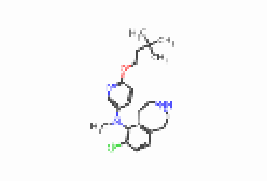 CN(c1ccc(OCCC(C)(C)C)nc1)c1c(Cl)ccc2c1CCNCC2